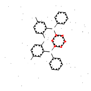 Cc1cc[c]([GeH2][c]2ccc(C)cc2P(c2ccccc2)c2ccccc2)c(P(c2ccccc2)c2ccccc2)c1